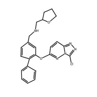 Clc1nnc2ccc(Oc3cc(CNCC4CCCO4)ccc3-c3ccccc3)nn12